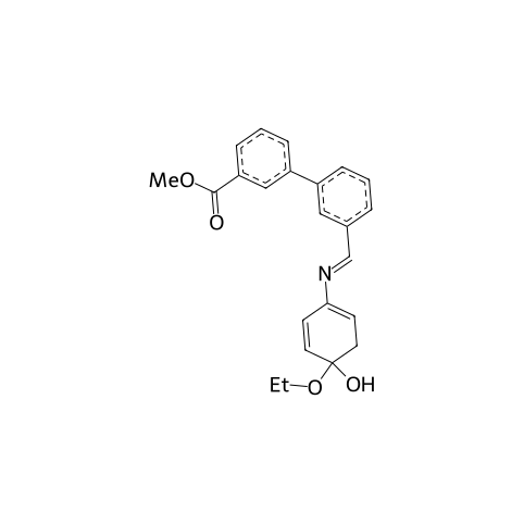 CCOC1(O)C=CC(N=Cc2cccc(-c3cccc(C(=O)OC)c3)c2)=CC1